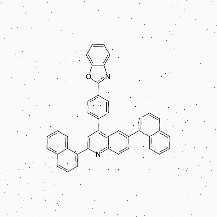 c1ccc2c(-c3ccc4nc(-c5cccc6ccccc56)cc(-c5ccc(-c6nc7ccccc7o6)cc5)c4c3)cccc2c1